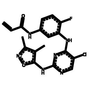 C=CC(=O)Nc1ccc(F)c(Nc2nc(Nc3onc(C)c3C)ncc2Cl)c1